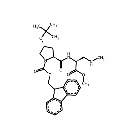 CNC[C@H](NC(=O)[C@@H]1C[C@@H](OC(C)(C)C)CN1C(=O)OCC1c2ccccc2-c2ccccc21)C(=O)OC